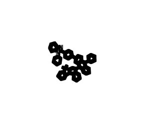 CC1(C)c2ccccc2-c2c1cc(-c1c3ccccc3c(-c3ccccc3)c3ccc(-c4ccc(-c5nc6ccccc6n5C5=CC=CCC5)cc4)cc13)c1ccccc21